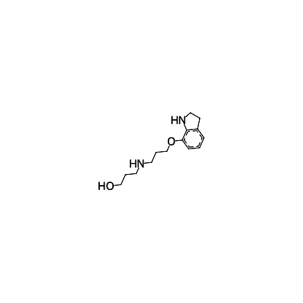 OCCCNCCCOc1cccc2c1NCC2